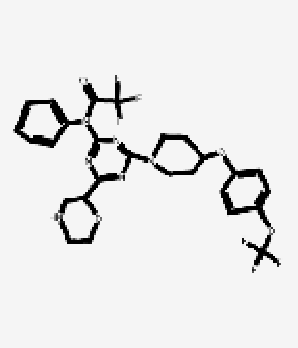 O=C(N(c1ccccc1)c1nc(C2CNCCO2)nc(N2CCC(Oc3ccc(OC(F)(F)F)cc3)CC2)n1)C(F)(F)F